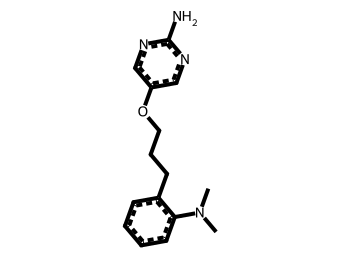 CN(C)c1ccccc1CCCOc1cnc(N)nc1